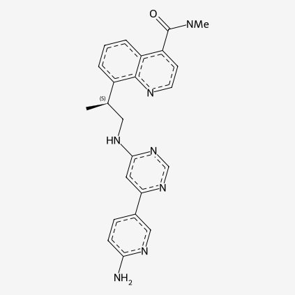 CNC(=O)c1ccnc2c([C@H](C)CNc3cc(-c4ccc(N)nc4)ncn3)cccc12